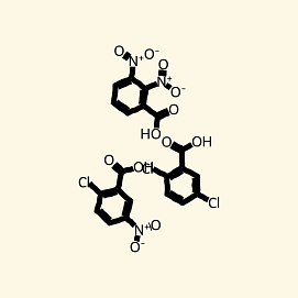 O=C(O)c1cc(Cl)ccc1Cl.O=C(O)c1cc([N+](=O)[O-])ccc1Cl.O=C(O)c1cccc([N+](=O)[O-])c1[N+](=O)[O-]